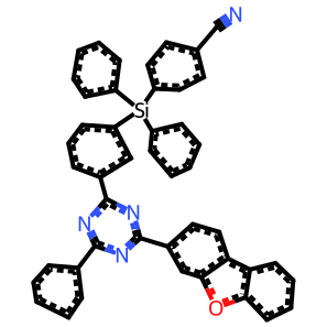 N#Cc1ccc([Si](c2ccccc2)(c2ccccc2)c2cccc(-c3nc(-c4ccccc4)nc(-c4ccc5c(c4)oc4ccccc45)n3)c2)cc1